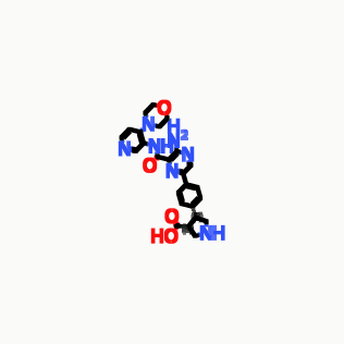 Nc1ncc(-c2ccc([C@@H]3CNC[C@H]3C(=O)O)cc2)nc1C(=O)Nc1cnccc1N1CCOCC1